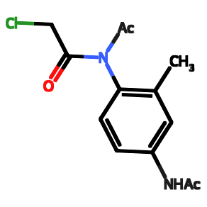 CC(=O)Nc1ccc(N(C(C)=O)C(=O)CCl)c(C)c1